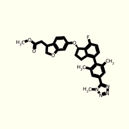 COC(=O)CC1COc2cc(O[C@@H]3CCc4c(-c5c(C)cc(-c6nnnn6C)cc5C)ccc(F)c43)ccc21